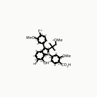 COCC(C)(C)c1c(-c2ccc(F)c(OC)c2)c2ccc(F)c(O)c2n1-c1ccc(C(=O)O)c(OC)c1